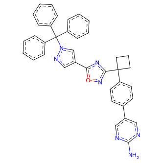 Nc1ncc(-c2ccc(C3(c4noc(-c5cnn(C(c6ccccc6)(c6ccccc6)c6ccccc6)c5)n4)CCC3)cc2)cn1